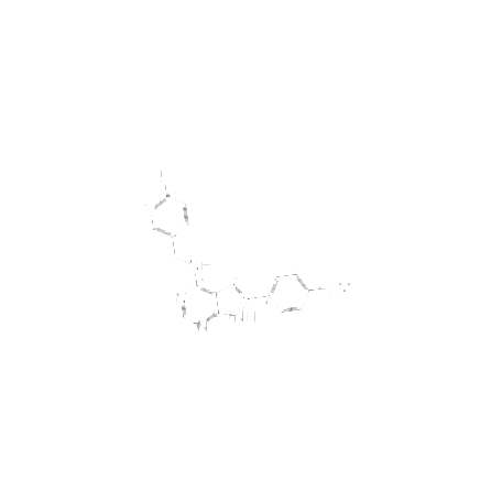 COc1ccc(-c2cc3c(NCc4ccc(F)cc4)ncnc3[nH]2)cc1